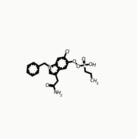 CCCP(=O)(O)OOc1cc2c(CC(N)=O)cn(Cc3ccccc3)c2cc1Cl